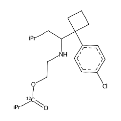 CC(C)CC(NCCO[12C](=O)C(C)C)C1(c2ccc(Cl)cc2)CCC1